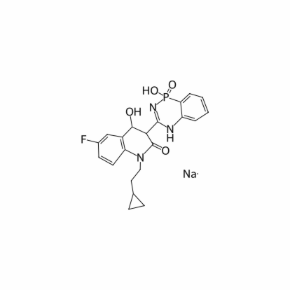 O=C1C(C2=NP(=O)(O)c3ccccc3N2)C(O)c2cc(F)ccc2N1CCC1CC1.[Na]